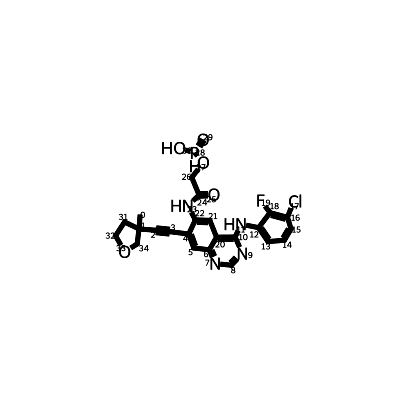 CC1(C#Cc2cc3ncnc(Nc4cccc(Cl)c4F)c3cc2NC(=O)CO[PH](=O)O)CCOC1